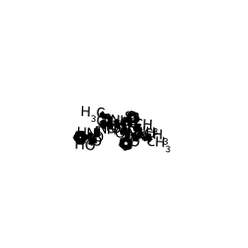 CCCC(NC(=O)[C@@H]1CC2(CN1C(=O)[C@@H](NC(=O)[C@H](CC(C)C)NC(C)=O)C1CCCCC1)SCCCS2)C(=O)C(=O)NCC(=O)NC(C(=O)O)c1ccccc1